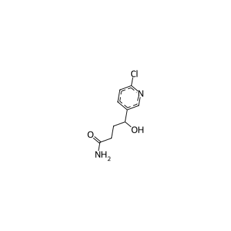 NC(=O)CCC(O)c1ccc(Cl)nc1